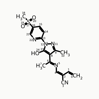 C=C/C(C#N)=C\N=C(/C)c1c(C)nn(-c2ccc(S(C)(=O)=O)cn2)c1O